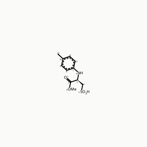 COC(=O)[C@H](CS(=O)(=O)O)Nc1ccc(C)cc1